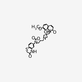 COc1ccc2ccc(=O)n(CC3(O)CN(CC4CN(c5ccc6c(c5)NC(=O)CS6)C(=O)O4)C3)c2c1